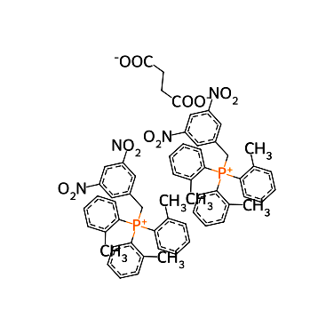 Cc1ccccc1[P+](Cc1cc([N+](=O)[O-])cc([N+](=O)[O-])c1)(c1ccccc1C)c1ccccc1C.Cc1ccccc1[P+](Cc1cc([N+](=O)[O-])cc([N+](=O)[O-])c1)(c1ccccc1C)c1ccccc1C.O=C([O-])CCC(=O)[O-]